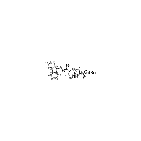 CC(C)(C)OC(=O)N1CCC2(CN(C(=O)OCC3c4ccccc4-c4ccccc43)CCN2)C1